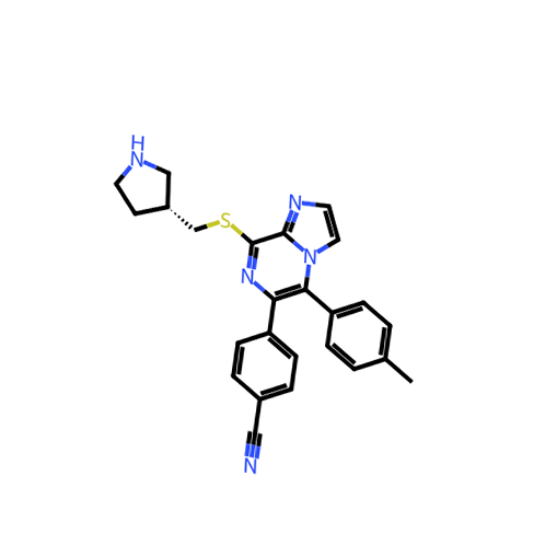 Cc1ccc(-c2c(-c3ccc(C#N)cc3)nc(SC[C@@H]3CCNC3)c3nccn23)cc1